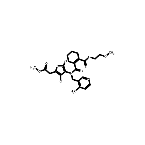 COCCOC(=O)C1=C(C(=O)N(Cc2cnccc2C)c2c(Cl)sc(CC(=O)OC)c2Cl)CCCC1